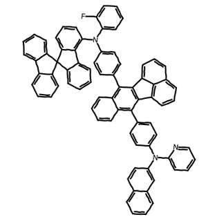 Fc1ccccc1N(c1ccc(-c2c3c(c(-c4ccc(N(c5ccc6ccccc6c5)c5ccccn5)cc4)c4ccccc24)-c2cccc4cccc-3c24)cc1)c1cccc2c1-c1ccccc1C21c2ccccc2-c2ccccc21